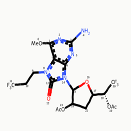 COc1nc(N)nc2c1n(CCC(F)(F)F)c(=O)n2C1OC([C@@H](OC(C)=O)C(F)(F)F)CC1OC(C)=O